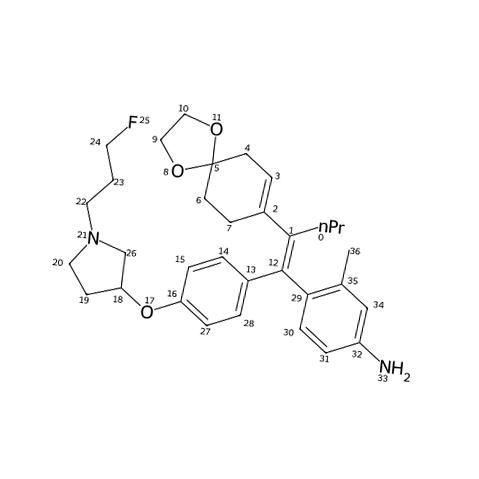 CCC/C(C1=CCC2(CC1)OCCO2)=C(/c1ccc(OC2CCN(CCCF)C2)cc1)c1ccc(N)cc1C